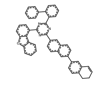 C1=Cc2cc(-c3ccc4cc(-c5nc(-c6ccccc6-c6ccccc6)nc(-c6cccc7oc8ccccc8c67)n5)ccc4c3)ccc2CC1